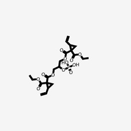 C=CC1CC1(C(=O)OCC)C(=O)OCC(COC(=O)C1(C(=O)OCC)CC1C=C)OP(=O)(O)O